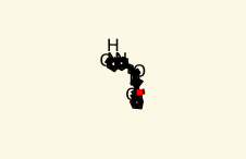 Cc1c(C2CN(C(=O)C=Cc3cnc4c(c3)CCC(=O)N4)C2)oc2ccccc12